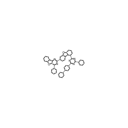 c1ccc(-c2ccc(-c3nc(-c4ccccc4)nc(-c4cccc5oc6cc(-c7nc(-c8ccccc8)c8oc9ccccc9c8n7)ccc6c45)n3)cc2)cc1